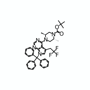 C[C@@H]1CN(c2ncnc3c2c(CC(F)(F)F)cn3C(c2ccccc2)(c2ccccc2)c2ccccc2)[C@@H](C)CN1C(=O)OC(C)(C)C